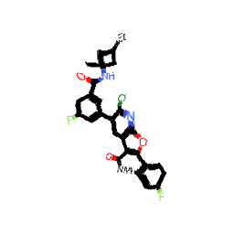 CCC1CC(C)(NC(=O)c2cc(F)cc(-c3cc4c(C(=O)NC)c(-c5ccc(F)cc5)oc4nc3Cl)c2)C1